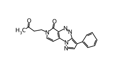 CC(=O)CCn1ccc2c(nnc3c(-c4ccccc4)cnn32)c1=O